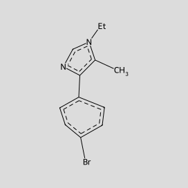 CCn1cnc(-c2ccc(Br)cc2)c1C